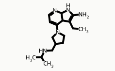 CCC1=C(N)NC2N=CC=C(N3CCC(CNC(C)C)C3)C12